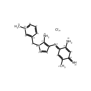 CC1=C/C(=N\c2cnn(Cc3ccc[n+](C)c3)c2N)C(N)=CC1=N.[Cl-]